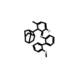 COc1ccccc1-c1ccccc1N=C1C([O])=CC=C(C)C1C1C2CC3CC(C2)CC1C3